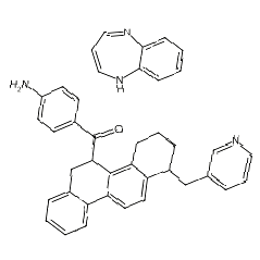 C1=CNc2ccccc2N=C1.Nc1ccc(C(=O)C2Cc3ccccc3-c3ccc4c(c32)CCCC4Cc2cccnc2)cc1